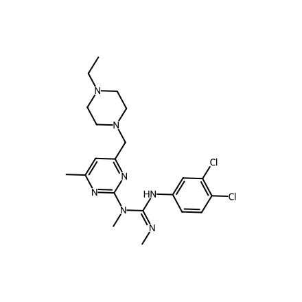 CCN1CCN(Cc2cc(C)nc(N(C)/C(=N\C)Nc3ccc(Cl)c(Cl)c3)n2)CC1